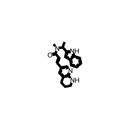 CC(c1cc2ccccc2[nH]1)N(C)C(=O)/C=C/c1cnc2c(c1)CCCN2